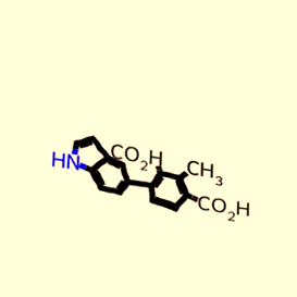 Cc1c(C(=O)O)ccc(-c2ccc3[nH]ccc3c2)c1C(=O)O